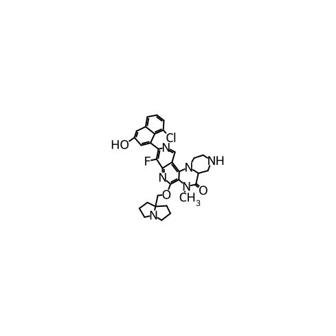 CN1C(=O)C2CNCCN2c2c1c(OCC13CCCN1CCC3)nc1c(F)c(-c3cc(O)cc4cccc(Cl)c34)ncc21